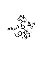 CC(N)C(=O)n1nc(-c2cc(C(C)C)c(CC(N)C(=O)O)cc2CC(N)C(=O)O)n(-c2ccc3c(ccn3C)c2)c1=O.Cl.Cl.Cl